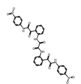 O=C(Nc1ccccc1C(=O)C(=O)Nc1ccc([N+](=O)[O-])cc1)C(=O)Nc1ccccc1C(=O)C(=O)Nc1ccc([N+](=O)[O-])cc1